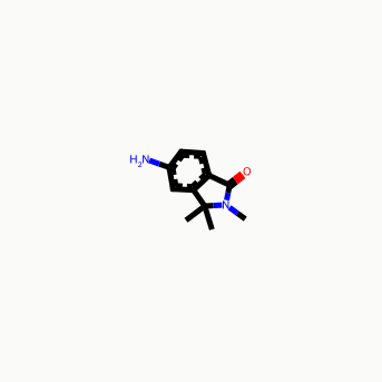 CN1C(=O)c2ccc(N)cc2C1(C)C